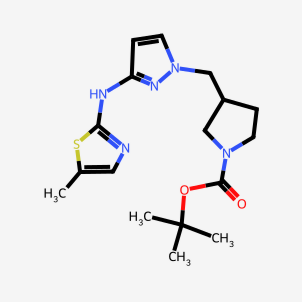 Cc1cnc(Nc2ccn(CC3CCN(C(=O)OC(C)(C)C)C3)n2)s1